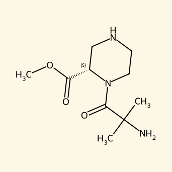 COC(=O)[C@@H]1CNCCN1C(=O)C(C)(C)N